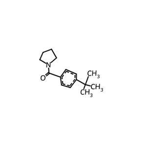 CC(C)(C)c1ccc(C(=O)N2CCCC2)cc1